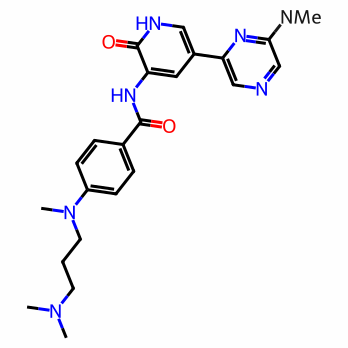 CNc1cncc(-c2c[nH]c(=O)c(NC(=O)c3ccc(N(C)CCCN(C)C)cc3)c2)n1